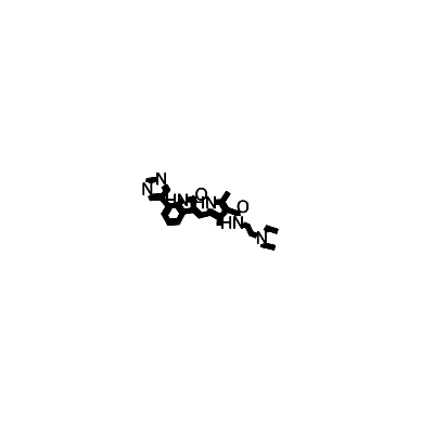 CCN(CC)CCNC(=O)c1c(C)[nH]c(/C=C2\C(=O)Nc3c2cccc3-c2cncnc2)c1C